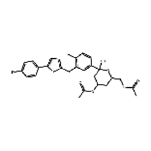 CC(=O)OCC1CC(OC(C)=O)CC(O)(c2ccc(C)c(Cc3ccc(-c4ccc(F)cc4)s3)c2)O1